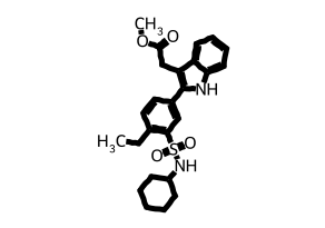 CCc1ccc(-c2[nH]c3ccccc3c2CC(=O)OC)cc1S(=O)(=O)NC1CCCCC1